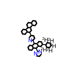 [2H]c1c([2H])c([2H])c(-c2ccc3c(-c4ccc(-c5cc6c7ccccc7ccc6c6ccccc56)cn4)c4ccccc4c(-c4ncccn4)c3c2)c([2H])c1[2H]